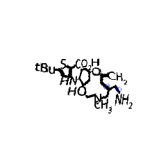 C=C(/C=C(\C=C/N)CN(C)CCO)O[C@H]1CC[C@H](Nc2cc(C(C)(C)C)sc2C(=O)O)CC1